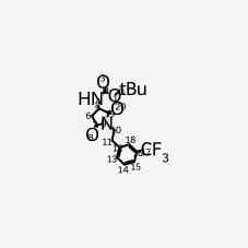 CC(C)(C)OC(=O)NC1CC(=O)N(CCc2cccc(C(F)(F)F)c2)C1=O